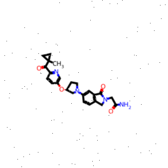 CC1(C(=O)c2ccc(O[C@@H]3CCN(c4ccc5c(c4)C(=O)N(CC(N)=O)C5)C3)cn2)CC1